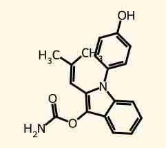 CC(C)=Cc1c(OC(N)=O)c2ccccc2n1-c1ccc(O)cc1